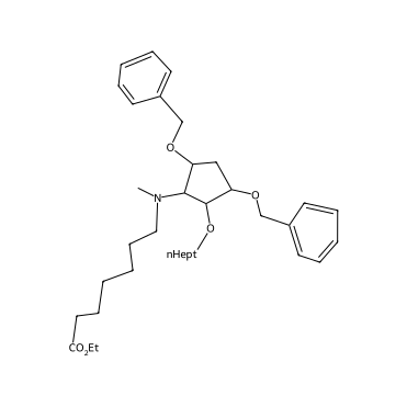 CCCCCCCOC1C(OCc2ccccc2)CC(OCc2ccccc2)C1N(C)CCCCCCC(=O)OCC